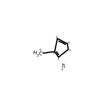 CC1=C[CH]C=C1.[Ti]